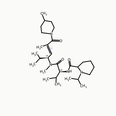 C/C(=C\[C@H](C(C)C)N(C)C(=O)[C@@H](NC(=O)C1CCCCN1C(C)C)C(C)C)C(=O)N1CCC(C)CC1